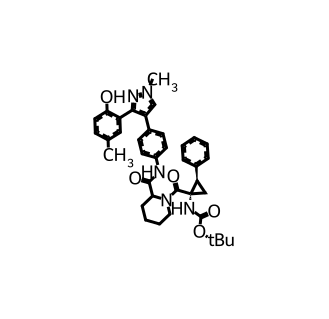 Cc1ccc(O)c(-c2nn(C)cc2-c2ccc(NC(=O)C3CCCCN3C(=O)[C@]3(NC(=O)OC(C)(C)C)C[C@@H]3c3ccccc3)cc2)c1